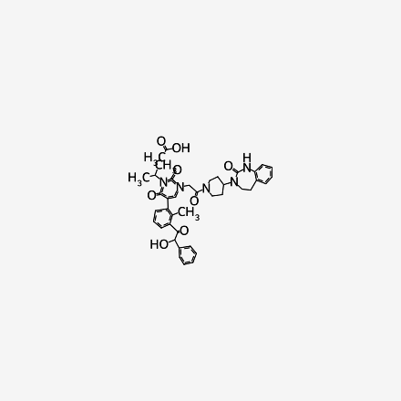 CC(=O)O.Cc1c(C(=O)C(O)c2ccccc2)cccc1-c1cn(CC(=O)N2CCC(N3CCc4ccccc4NC3=O)CC2)c(=O)n(C(C)C)c1=O